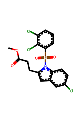 COC(=O)CCc1cc2cc(Cl)ccc2n1S(=O)(=O)c1cccc(Cl)c1Cl